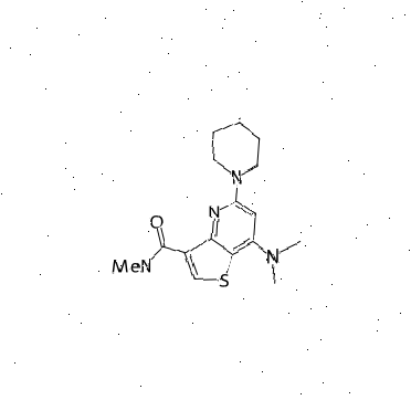 CNC(=O)c1csc2c(N(C)C)cc(N3CC[CH]CC3)nc12